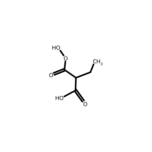 CCC(C(=O)O)C(=O)OO